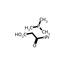 CCCC(=O)CC(=O)O.CP(C)C